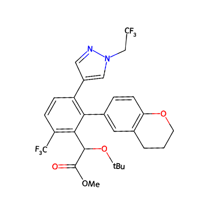 COC(=O)C(OC(C)(C)C)c1c(C(F)(F)F)ccc(-c2cnn(CC(F)(F)F)c2)c1-c1ccc2c(c1)CCCO2